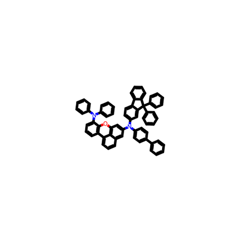 c1ccc(-c2ccc(N(c3ccc4c(c3)C(c3ccccc3)(c3ccccc3)c3ccccc3-4)c3cc4c5c(cccc5c3)-c3cccc(N(c5ccccc5)c5ccccc5)c3O4)cc2)cc1